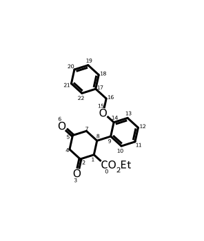 CCOC(=O)C1C(=O)CC(=O)CC1c1ccccc1OCc1ccccc1